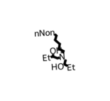 CCCCCCCCCCCCCCN(CC(O)CC)CC(O)CC